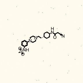 CS(=O)(=O)Nc1cccc(N2CCN(CC[C@H]3CC[C@H](NC(=O)CC#N)CC3)CC2)c1